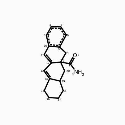 NC(=O)C12Cc3ccccc3C=C1C=C1CCCCC1C2